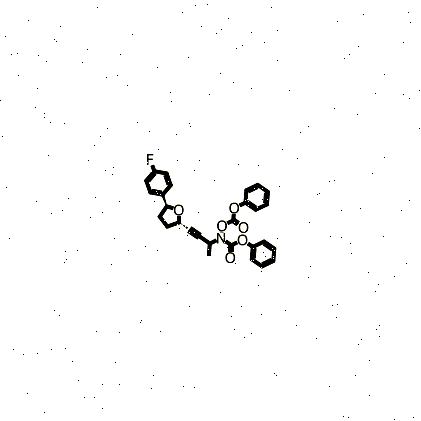 CC(C#C[C@@H]1CC[C@@H](c2ccc(F)cc2)O1)N(OC(=O)Oc1ccccc1)C(=O)Oc1ccccc1